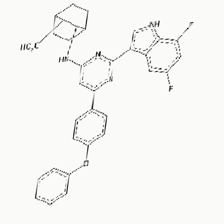 O=C(O)C1C2CCC(CC2)C1Nc1cc(-c2ccc(Oc3ccccc3)cc2)nc(-c2c[nH]c3c(F)cc(F)cc23)n1